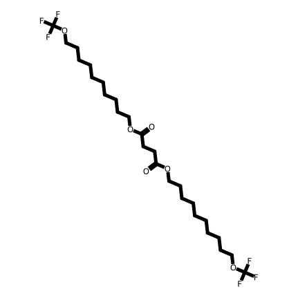 O=C(CCC(=O)OCCCCCCCCCCOC(F)(F)F)OCCCCCCCCCCOC(F)(F)F